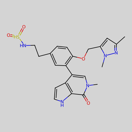 Cc1cc(COc2ccc(CCN[SH](=O)=O)cc2-c2cn(C)c(=O)c3[nH]ccc23)n(C)n1